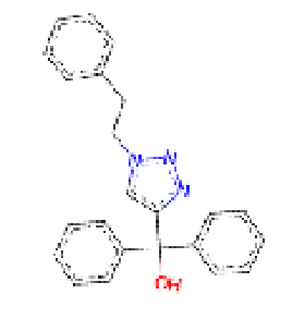 OC(c1ccccc1)(c1ccccc1)c1cn(CCc2ccccc2)nn1